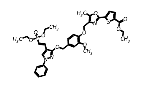 CCOC(=O)c1ccc(-c2nc(COc3ccc(COc4nn(-c5ccccc5)cc4C=CP(=O)(OCC)OCC)cc3OC)c(C)o2)s1